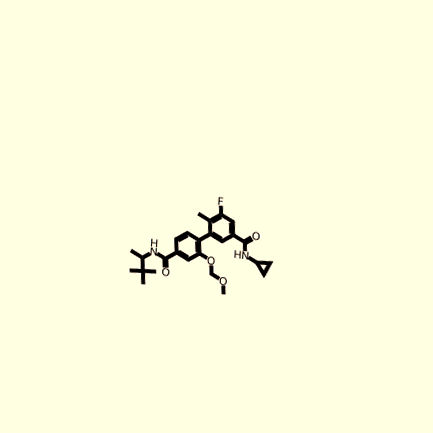 COCOc1cc(C(=O)NC(C)C(C)(C)C)ccc1-c1cc(C(=O)NC2CC2)cc(F)c1C